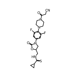 N#CCC(=O)N1CCN(c2c(F)cc(N3CC(CNC(=S)C4CC4)OC3=O)cc2F)CC1